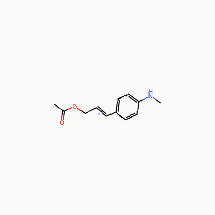 CNc1ccc(/C=C/COC(C)=O)cc1